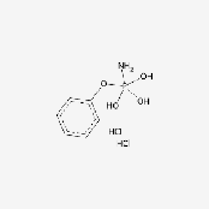 Cl.Cl.NP(O)(O)(O)Oc1ccccc1